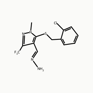 Cn1nc(C(F)(F)F)c(/C=N/N)c1SCc1ccccc1Cl